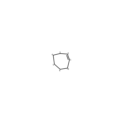 [C]1[C]=[C]CCCC1